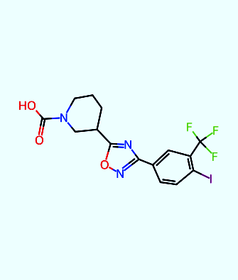 O=C(O)N1CCCC(c2nc(-c3ccc(I)c(C(F)(F)F)c3)no2)C1